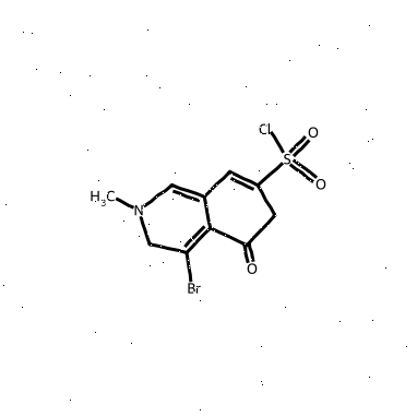 CN1C=C2C=C(S(=O)(=O)Cl)CC(=O)C2=C(Br)C1